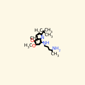 COc1cc(NCCCC(C)N)c2nc(C(C)(C)C)ccc2c1OC